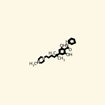 CN1CCN(CCCCC(C)(C)c2cc(O)c(C(=O)Nc3ccccc3)c(O)c2)CC1